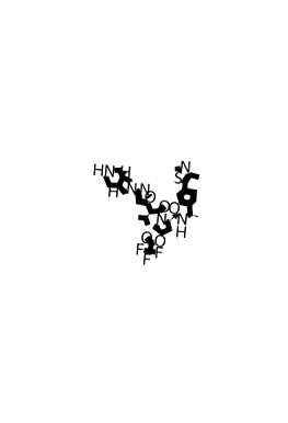 Cc1ncsc1-c1ccc([C@H](C)NC(=O)[C@@H]2C[C@@H](OC(=O)C(F)(F)F)CN2C(=O)[C@@H](c2cc(N3C[C@H]4CNCC[C@H]4C3)no2)C(C)C)cc1